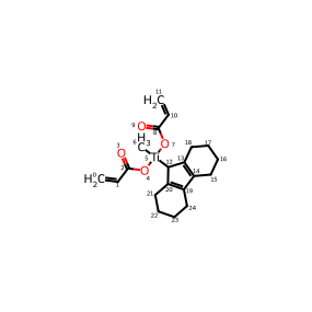 C=CC(=O)[O][Ti]([CH3])([O]C(=O)C=C)[CH]1C2=C(CCCC2)C2=C1CCCC2